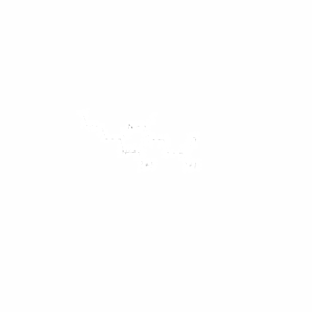 CCCCc1nc(C)c(CCC(=O)O)c(O)n1